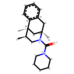 C[C@@H]1CN(C(=O)N2CCCCC2)[C@@H]2Cc3ccccc3[C@@]1(C)C2